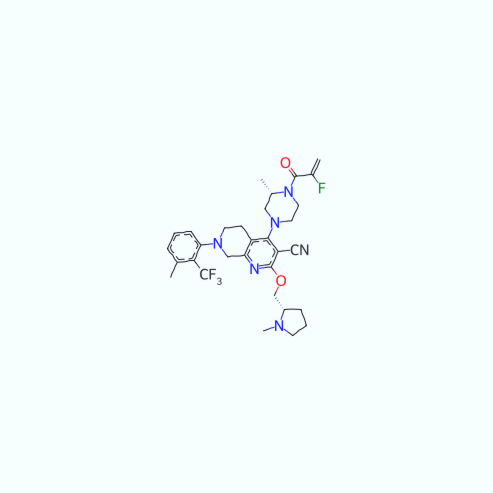 C=C(F)C(=O)N1CCN(c2c(C#N)c(OC[C@@H]3CCCN3C)nc3c2CCN(c2cccc(C)c2C(F)(F)F)C3)C[C@@H]1C